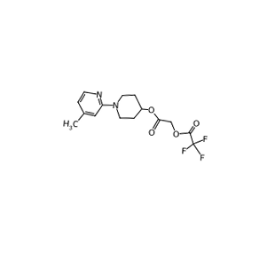 Cc1ccnc(N2CCC(OC(=O)COC(=O)C(F)(F)F)CC2)c1